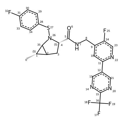 C[C@H]1C2C[C@@H](C(=O)NCc3cc(-c4cnc(C(F)(F)F)nc4)ncc3F)N(Sc3ccc(F)cc3)C21